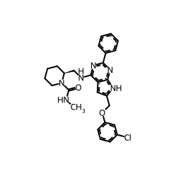 CNC(=O)N1CCCC[C@H]1CNc1nc(-c2ccccc2)nc2[nH]c(COc3cccc(Cl)c3)cc12